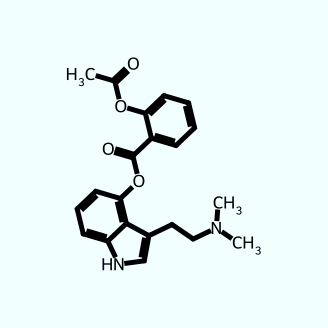 CC(=O)Oc1ccccc1C(=O)Oc1cccc2[nH]cc(CCN(C)C)c12